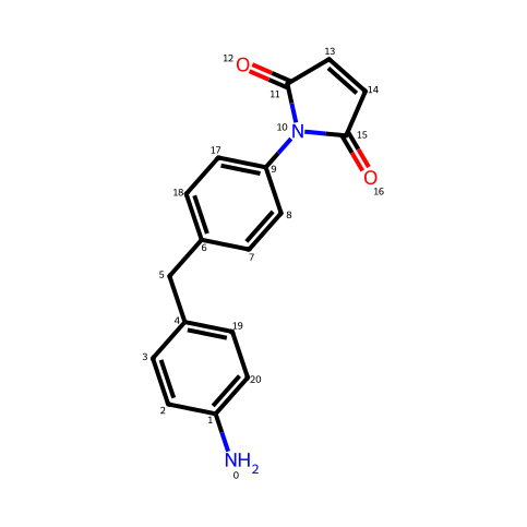 Nc1ccc(Cc2ccc(N3C(=O)C=CC3=O)cc2)cc1